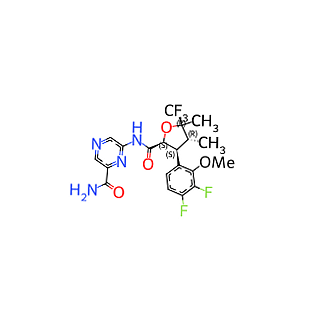 COc1c([C@H]2[C@@H](C(=O)Nc3cncc(C(N)=O)n3)O[C@@](C)(C(F)(F)F)[C@@H]2C)ccc(F)c1F